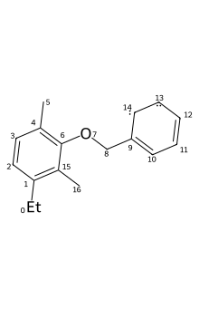 CCc1ccc(C)c(OCC2=CC=C[C][C]2)c1C